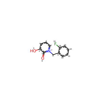 O=c1c(O)cccn1Cc1ccccc1F